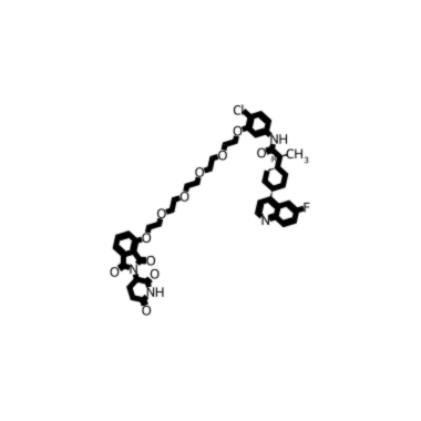 C[C@@H](C(=O)Nc1ccc(Cl)c(OCCOCCOCCOCCOCCOc2cccc3c2C(=O)N(C2CCC(=O)NC2=O)C3=O)c1)[C@H]1CC[C@@H](c2ccnc3ccc(F)cc32)CC1